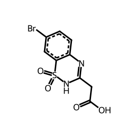 O=C(O)CC1=Nc2ccc(Br)cc2S(=O)(=O)N1